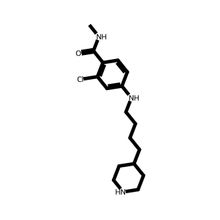 CNC(=O)c1ccc(NCCCCC2CCNCC2)cc1Cl